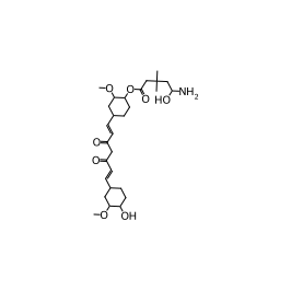 COC1CC(/C=C/C(=O)CC(=O)/C=C/C2CCC(OC(=O)CC(C)(C)CC(N)O)C(OC)C2)CCC1O